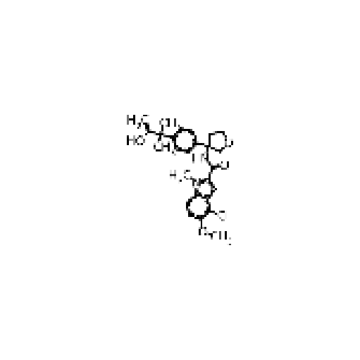 C=C(O)C(C)(C)c1ccc(C2(NC(=O)c3cc4c(Cl)c(OC)ccc4n3C)CCOC2)cc1